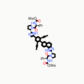 CC#Cc1cc(-c2cnc([C@@H]3CCCN3C(=O)[C@@H](NC(=O)OC)C(C)C)[nH]2)cc(C#CC)c1-c1ccc2c(ccc3nc([C@@H]4CCCN4C(=O)[C@@H](NC(=O)OC)C(C)C)[nH]c32)c1